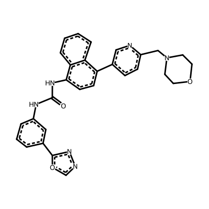 O=C(Nc1cccc(-c2nnco2)c1)Nc1ccc(-c2ccc(CN3CCOCC3)nc2)c2ccccc12